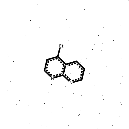 C[CH]c1ccnc2ncccc12